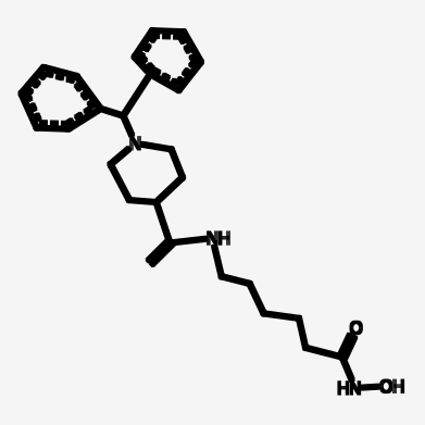 C=C(NCCCCCC(=O)NO)C1CCN(C(c2ccccc2)c2ccccc2)CC1